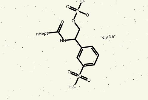 CCCCCCCC(=O)NC(COP(=O)([O-])[O-])c1cccc(S(C)(=O)=O)c1.[Na+].[Na+]